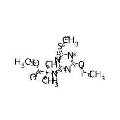 CCOc1nc(NC(C)(C)C(=O)OC)nc(SC)n1